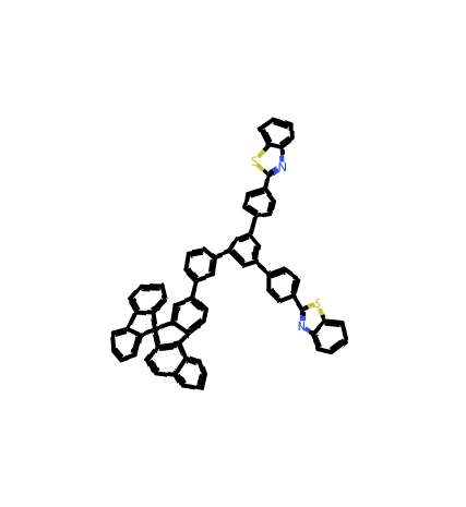 c1cc(-c2cc(-c3ccc(-c4nc5ccccc5s4)cc3)cc(-c3ccc(-c4nc5ccccc5s4)cc3)c2)cc(-c2ccc3c(c2)C2(c4ccccc4-c4ccccc42)c2ccc4ccccc4c2-3)c1